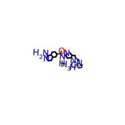 C[C@H]1CCCN1Cc1cc2cnc(NC(=O)c3ccc4c(N)nccc4c3)cc2[nH]1